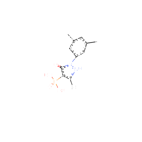 CCc1[nH]n(-c2cc(C)cc(C)c2)c(=O)c1P(=O)(O)O